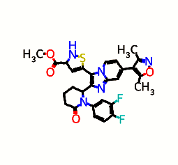 COC(=O)C1C=C(c2c(C3CCCC(=O)N3c3ccc(F)c(F)c3)nc3cc(-c4c(C)noc4C)ccn23)SN1